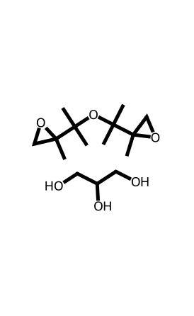 CC(C)(OC(C)(C)C1(C)CO1)C1(C)CO1.OCC(O)CO